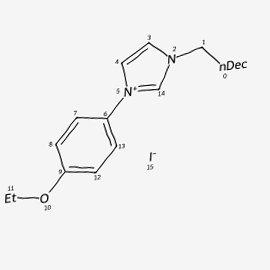 CCCCCCCCCCCn1cc[n+](-c2ccc(OCC)cc2)c1.[I-]